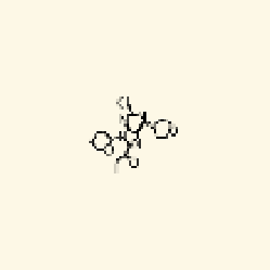 O=C(CI)c1nc2c(N3CCOCC3)nc(Cl)nc2n1C1CCCCO1